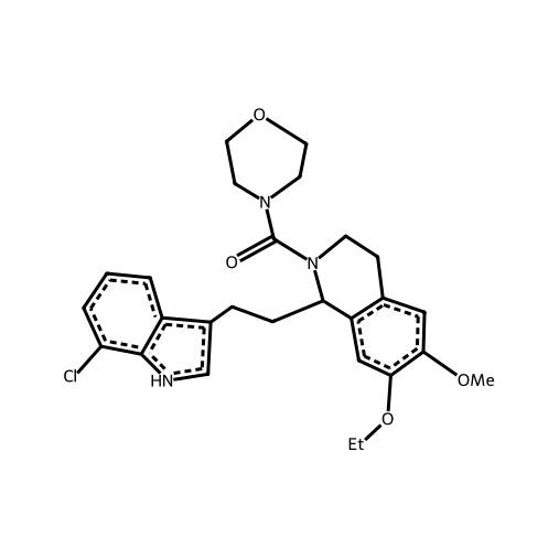 CCOc1cc2c(cc1OC)CCN(C(=O)N1CCOCC1)C2CCc1c[nH]c2c(Cl)cccc12